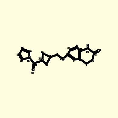 O=C1CCc2cc(OCC3CN(C(=O)n4cccc4)C3)ccc2N1